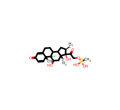 C[C@@H]1CC2C3CCC4=CC(=O)C=CC4(C)[C@@]3(F)C(O)CC2(C)[C@@]1(O)C(=O)CO[PH](C)(O)O